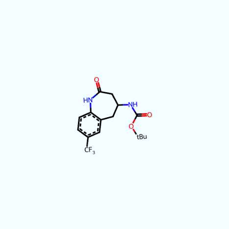 CC(C)(C)OC(=O)NC1CC(=O)Nc2ccc(C(F)(F)F)cc2C1